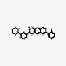 Cc1ccccc1-c1ccc2nc(N)c(CC(C)c3cncc(C4CCCCC4)c3)cc2c1